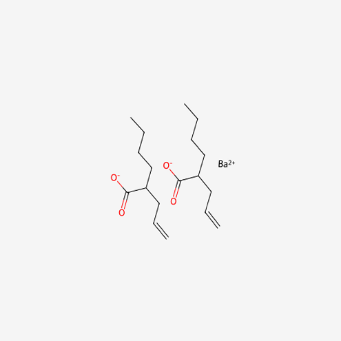 C=CCC(CCCC)C(=O)[O-].C=CCC(CCCC)C(=O)[O-].[Ba+2]